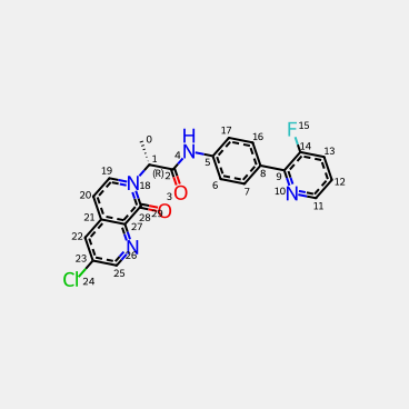 C[C@H](C(=O)Nc1ccc(-c2ncccc2F)cc1)n1ccc2cc(Cl)cnc2c1=O